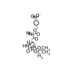 CC(C)(C)OC(=O)N1C[C@@H](CC(=O)C(=[N+]=[N-])C(=O)OCc2ccc([N+](=O)[O-])cc2)[C@H]2NC(=O)[C@H]21